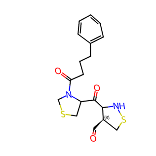 O=C[C@@H]1CSNC1C(=O)C1CSCN1C(=O)CCCc1ccccc1